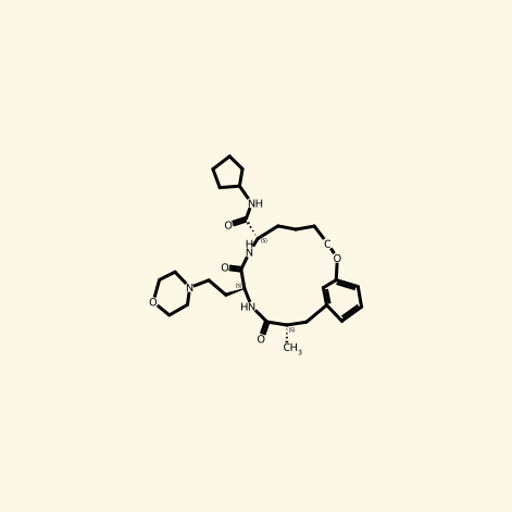 C[C@H]1Cc2cccc(c2)OCCCC[C@@H](C(=O)NC2CCCC2)NC(=O)[C@H](CCN2CCOCC2)NC1=O